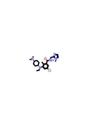 CCN(c1cc(Cl)cc(C(=O)NCc2nccn2C)c1C)[C@H]1CC[C@H](N(C)C)CC1